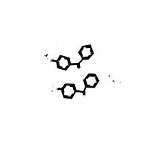 Cl.O=C(c1ccccc1)c1ccc([N+](=O)[O-])cc1.O=C(c1ccccc1)c1ccc([N+](=O)[O-])cc1.O=[PH](O)O